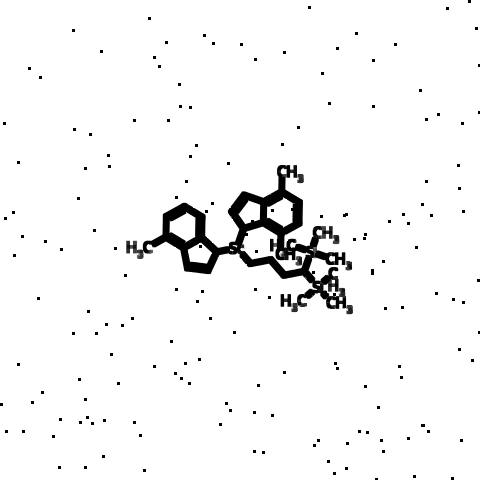 Cc1cccc2c1C=C[CH]2[Sc]([CH2]CC[C]([Si](C)(C)C)[Si](C)(C)C)[CH]1C=Cc2c(C)ccc(C)c21